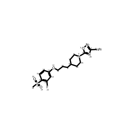 CCCc1noc(N2CCC(CCCOc3ccc(S(C)(=O)=O)c(F)c3)CC2)n1